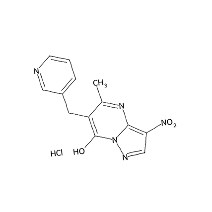 Cc1nc2c([N+](=O)[O-])cnn2c(O)c1Cc1cccnc1.Cl